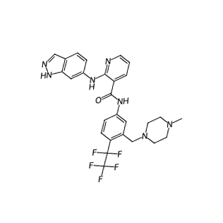 CN1CCN(Cc2cc(NC(=O)c3cccnc3Nc3ccc4cn[nH]c4c3)ccc2C(F)(F)C(F)(F)F)CC1